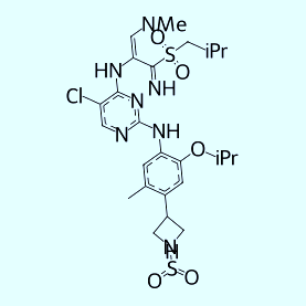 CN/C=C(/Nc1nc(Nc2cc(C)c(C3CN([SH](=O)=O)C3)cc2OC(C)C)ncc1Cl)C(=N)S(=O)(=O)CC(C)C